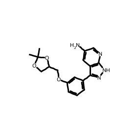 CC1(C)OCC(COc2cccc(-c3n[nH]c4ncc(N)cc34)c2)O1